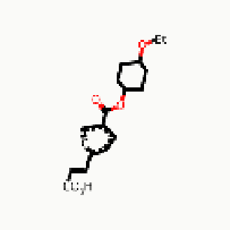 CCOC1CCC(OC(=O)c2ccc(C=CC(=O)O)cc2)CC1